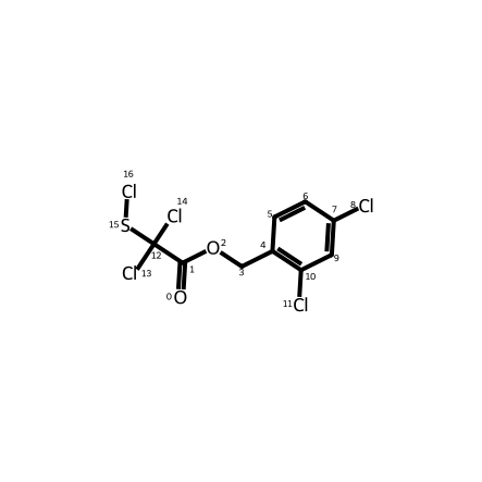 O=C(OCc1ccc(Cl)cc1Cl)C(Cl)(Cl)SCl